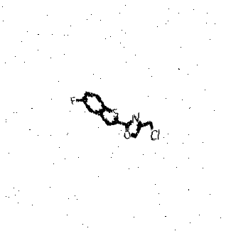 Fc1ccc2sc(-c3nc(CCl)co3)cc2c1